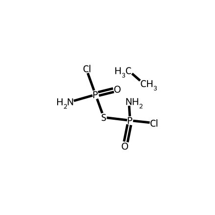 CC.NP(=O)(Cl)SP(N)(=O)Cl